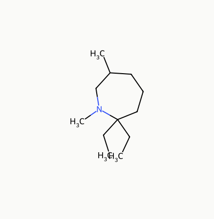 CCC1(CC)CCCC(C)CN1C